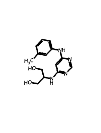 Cc1cccc(Nc2cc(NC(CO)CO)ncn2)c1